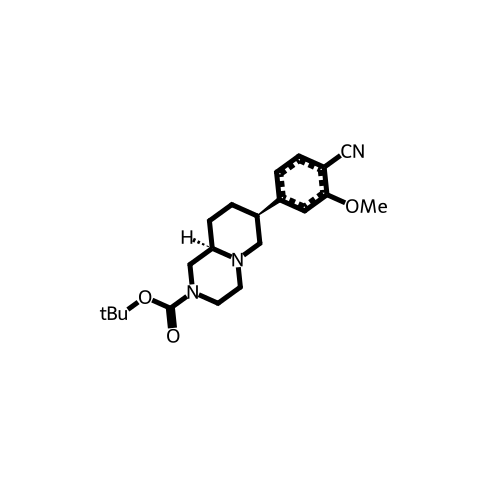 COc1cc([C@@H]2CC[C@@H]3CN(C(=O)OC(C)(C)C)CCN3C2)ccc1C#N